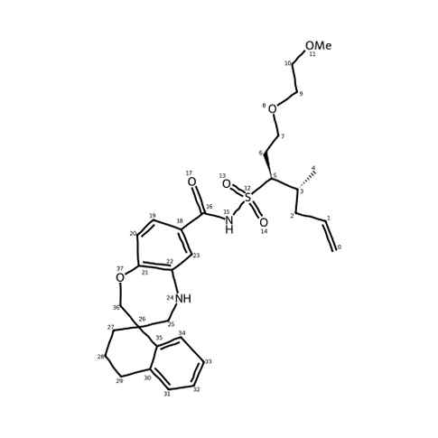 C=CC[C@@H](C)[C@H](CCOCCOC)S(=O)(=O)NC(=O)c1ccc2c(c1)NCC1(CCCc3ccccc31)CO2